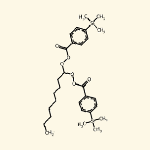 [CH2]CCCCCCC[C](OOC(=O)c1ccc([Si](C)(C)C)cc1)OOC(=O)c1ccc([Si](C)(C)C)cc1